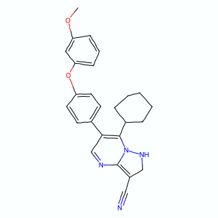 COc1cccc(Oc2ccc(C3=C(C4CCCCC4)N4NCC(C#N)=C4N=C3)cc2)c1